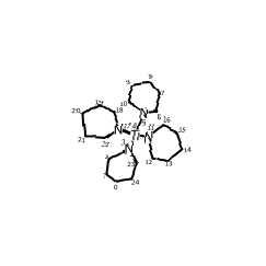 C1CC[N]([Ti]([N]2CCCCC2)([N]2CCCCC2)[N]2CCCCC2)CC1